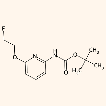 CC(C)(C)OC(=O)Nc1cccc(OCCF)n1